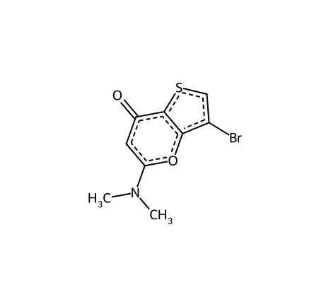 CN(C)c1cc(=O)c2scc(Br)c2o1